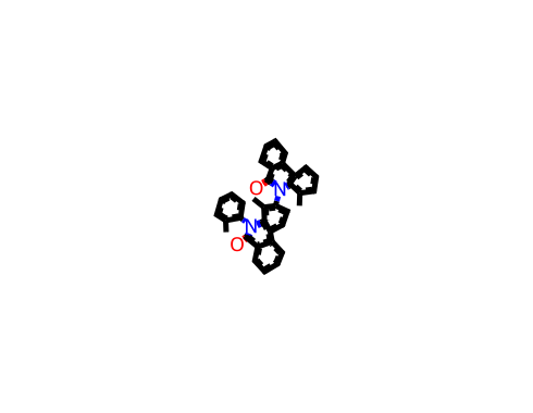 Cc1ccccc1-n1c(=O)c2ccccc2c2ccc(-n3c(=O)c4ccccc4c4cccc(C)c43)c(C)c21